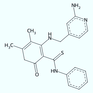 CC1=C(C)C(NCc2ccnc(N)c2)=C(C(=S)Nc2ccccc2)C(=O)C1